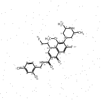 COc1c(N2CC(C)NC(C)C2)c(F)cc2c(=O)c(C(=O)NCc3ccc(Cl)cc3Cl)cn(CCF)c12